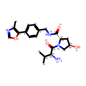 Cc1ncoc1-c1ccc(CNC(=O)[C@@H]2C[C@@H](O)CN2C(=O)[C@@H](N)C(C)C)cc1